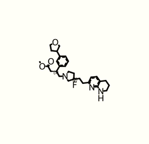 COC(=O)C[C@H](CN1CC[C@@](F)(CCc2ccc3c(n2)NCCC3)C1)c1cccc(C2CCOC2)c1